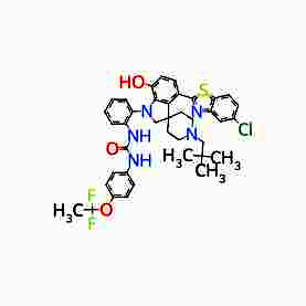 CC(C)(C)CN1CCC2(CC1)CN(c1ccccc1NC(=O)Nc1ccc(OC(C)(F)F)cc1)c1c(O)ccc(-c3nc4cc(Cl)ccc4s3)c12